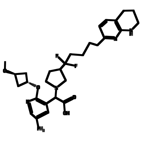 CO[C@H]1C[C@H](Oc2ncc(P)cc2C(C(=O)O)N2CCC(C(F)(F)CCCCc3ccc4c(n3)NCCC4)C2)C1